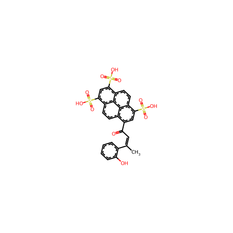 CC(=CC(=O)c1cc(S(=O)(=O)O)c2ccc3c(S(=O)(=O)O)cc(S(=O)(=O)O)c4ccc1c2c43)c1ccccc1O